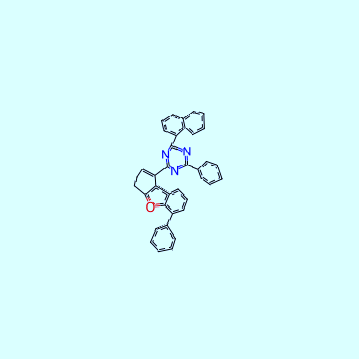 C1=C(c2nc(-c3ccccc3)nc(-c3cccc4ccccc34)n2)c2c(oc3c(-c4ccccc4)cccc23)CC1